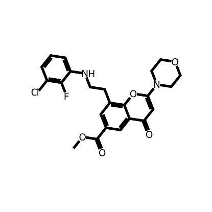 COC(=O)c1cc(CCNc2cccc(Cl)c2F)c2oc(N3CCOCC3)cc(=O)c2c1